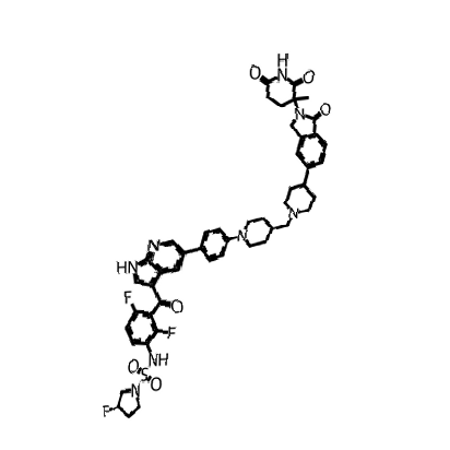 CC1(N2Cc3cc(C4CCN(CC5CCN(c6ccc(-c7cnc8[nH]cc(C(=O)c9c(F)ccc(NS(=O)(=O)N%10CC[C@@H](F)C%10)c9F)c8c7)cc6)CC5)CC4)ccc3C2=O)CCC(=O)NC1=O